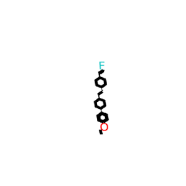 CCOc1ccc([C@H]2CC[C@H](CC[C@H]3CC[C@H](C=CF)CC3)CC2)cc1